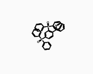 O=P(c1ccccc1)(c1ccccc1)c1ccc(-c2ccccn2)c(P(=O)(c2ccccc2)c2ccccc2)c1